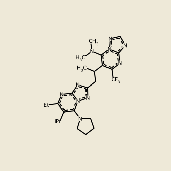 CCc1nc2nc(CC(C)c3c(C(F)(F)F)nc4ncnn4c3N(C)C)nn2c(N2CCCC2)c1C(C)C